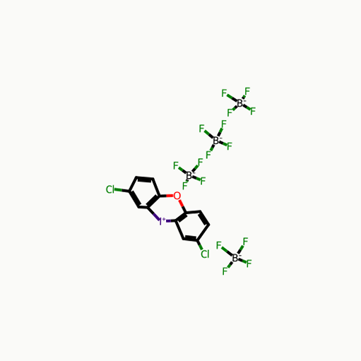 Clc1ccc2c(c1)[I+]c1cc(Cl)ccc1O2.F[B-](F)(F)F.F[B-](F)(F)F.F[B-](F)(F)F.F[B-](F)(F)F